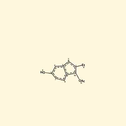 CCc1sc2cc(O)ccc2c1OC(C)=O